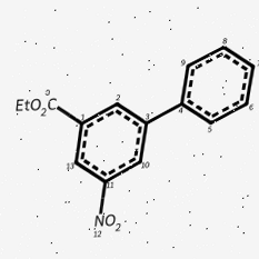 CCOC(=O)c1cc(-c2ccccc2)cc([N+](=O)[O-])c1